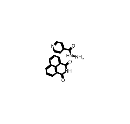 NNC(=O)c1ccncc1.O=C1NC(=O)c2cccc3cccc1c23